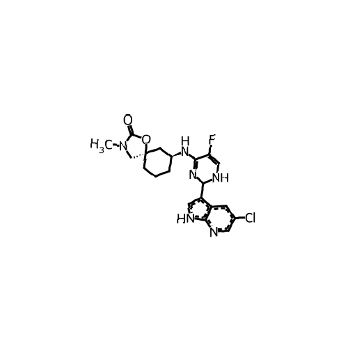 CN1C[C@]2(CCC[C@H](NC3=NC(c4c[nH]c5ncc(Cl)cc45)NC=C3F)C2)OC1=O